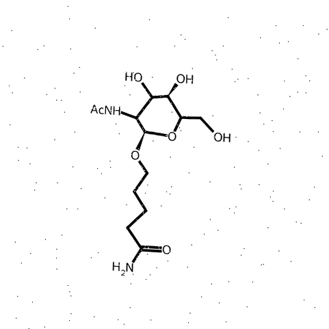 CC(=O)NC1C(O)[C@@H](O)C(CO)O[C@H]1OCCCCC(N)=O